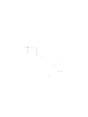 CC(C)N(C)OCCCC(F)(F)F